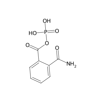 NC(=O)c1ccccc1C(=O)OP(=O)(O)O